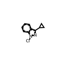 Cln1nc(C2CC2)c2ccccc21